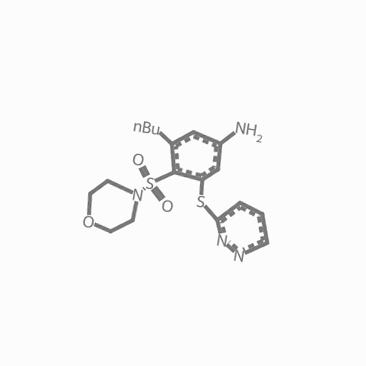 CCCCc1cc(N)cc(Sc2cccnn2)c1S(=O)(=O)N1CCOCC1